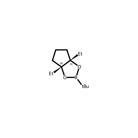 CC[C@@]12CCC[C@]1(CC)OB(C(C)(C)C)O2